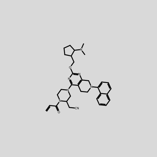 C=CC(=O)N1CCN(c2nc(OCC3CCCC3N(C)C)nc3c2CCN(c2cccc4ccccc24)C3)CC1CC#N